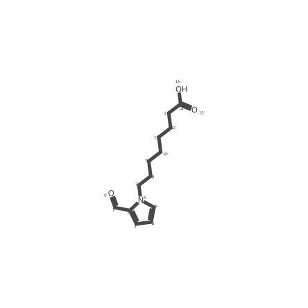 O=Cc1cccn1CCCCCCCC(=O)O